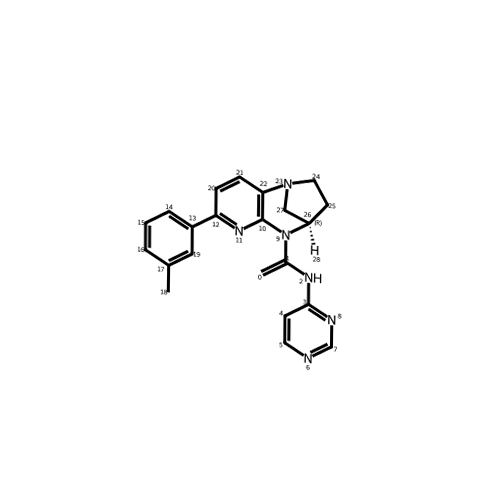 C=C(Nc1ccncn1)N1c2nc(-c3cccc(C)c3)ccc2N2CC[C@@H]1C2